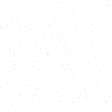 CC1(C)[C@H]2CC[C@@]1(c1cccc(-c3cnn(CS(C)(=O)=O)c3)n1)c1nnc(-c3c(F)cccc3F)cc12